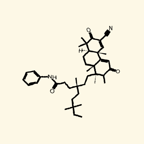 CCC(C)(C)CC[C@](C)(CCC(=O)Nc1ccccc1)CC[C@]1(C)C(C)C(=O)C=C2[C@@]3(C)C=C(C#N)C(=O)C(C)(C)[C@@H]3CC[C@]21C